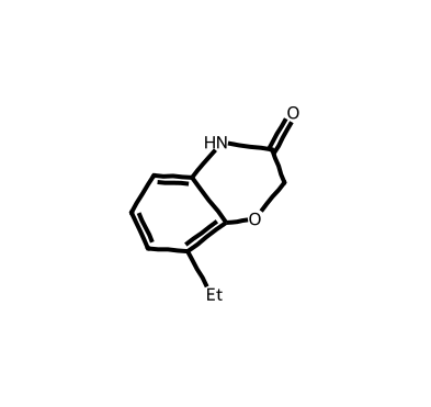 CCc1cccc2c1OCC(=O)N2